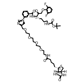 CC(C)(C)OC(=O)NCCCC[C@H](NC(=O)c1cccc(-n2cc(COCCOCCOCCOCCNC(=O)CCCC[C@@H]3SC[C@@H]4NC(=O)N[C@@H]43)nn2)c1)C(=O)COc1c(F)cccc1F